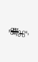 C=C(Cl)C(=O)OC(F)(F)C(F)(F)C(F)(F)C(C)(C)F